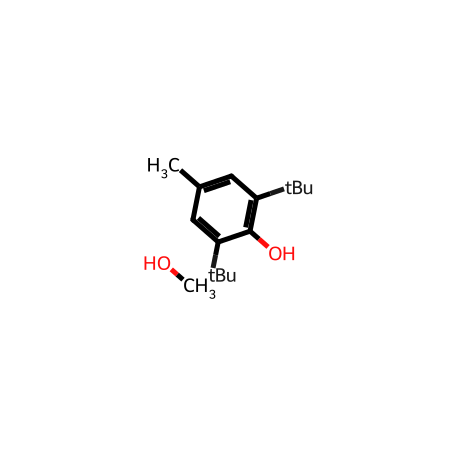 CO.Cc1cc(C(C)(C)C)c(O)c(C(C)(C)C)c1